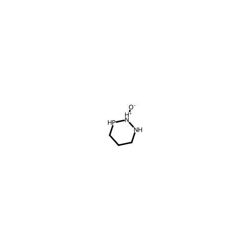 [O-][NH+]1NCCCP1